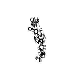 O=C(c1ccc(Nc2ncnc3c2c(F)cn3C2CCN(c3noc(C(F)F)n3)CC2)c(F)c1)N1C[C@H](O)[C@@H](O)C1